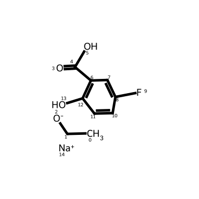 CC[O-].O=C(O)c1cc(F)ccc1O.[Na+]